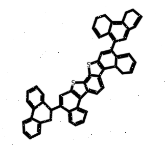 C1=CCC2C(=C1)C(c1cc3c(c4c1C=CCC4)CCC=C3)=Cc1sc3c(ccc4c3sc3cc(C5Cc6ccccc6-c6ccccc65)c5ccccc5c34)c12